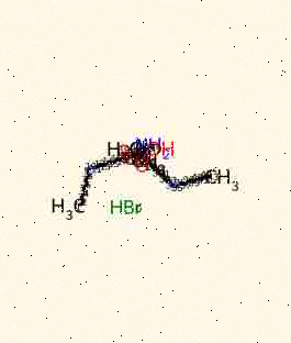 Br.CCCCCCCC/C=C\CCCCCCCC(=O)OCC(C)(OC(=O)CCCCCCC/C=C\CCCCCCCC)C(C)(N)CCO